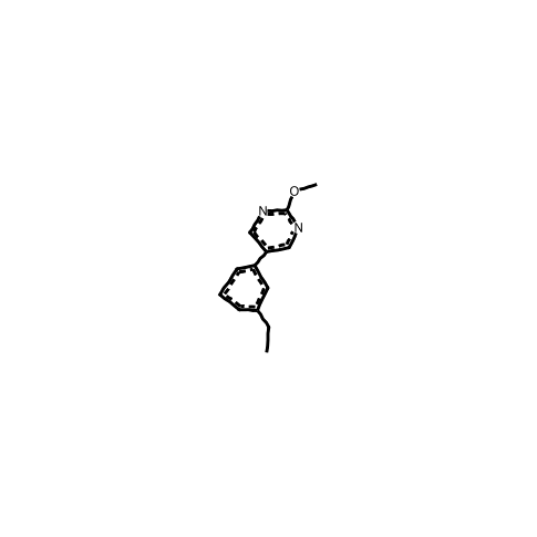 CCc1cccc(-c2cnc(OC)nc2)c1